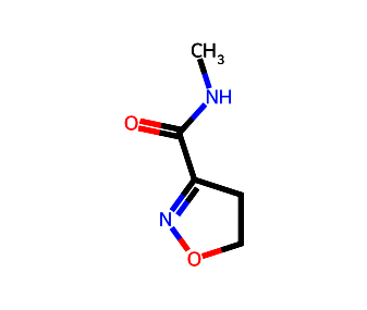 CNC(=O)C1=NOCC1